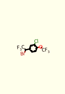 FC(F)(F)Oc1ccc(C(Br)C(F)(F)F)cc1Cl